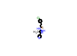 Cc1c(-c2ccncc2)n[nH]c1NC(=S)CCc1ccc(Cl)cc1